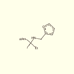 CCCCCCC(C)(CC)NCc1ccco1